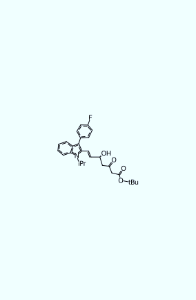 CC(C)n1c(C=C[C@@H](O)CC(=O)CC(=O)OC(C)(C)C)c(-c2ccc(F)cc2)c2ccccc21